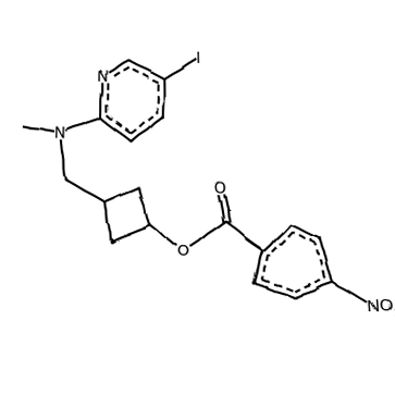 CN(CC1CC(OC(=O)c2ccc([N+](=O)[O-])cc2)C1)c1ccc(I)cn1